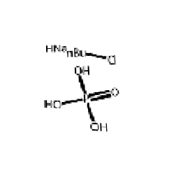 CCCCCl.O=P(O)(O)O.[NaH]